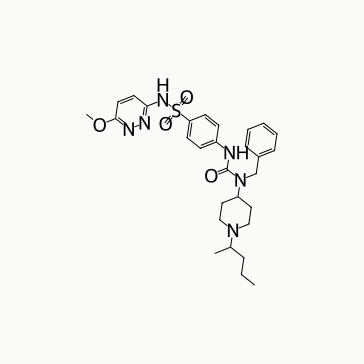 CCCC(C)N1CCC(N(Cc2ccccc2)C(=O)Nc2ccc(S(=O)(=O)Nc3ccc(OC)nn3)cc2)CC1